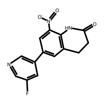 O=C1CCc2cc(-c3cncc(F)c3)cc([N+](=O)[O-])c2N1